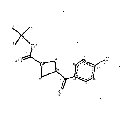 CC(C)(C)OC(=O)N1CC(C(=O)c2ccc(Cl)cc2)C1